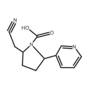 N#CCC1CCC(c2cccnc2)N1C(=O)O